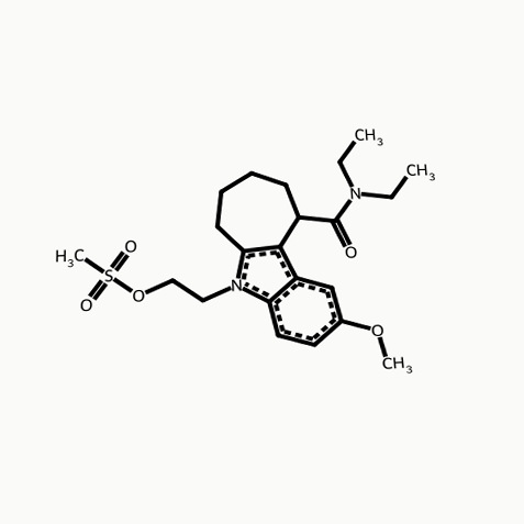 CCN(CC)C(=O)C1CCCCc2c1c1cc(OC)ccc1n2CCOS(C)(=O)=O